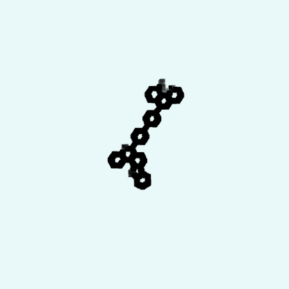 CC1CC=Cc2c(-c3ccc(-c4ccc(-c5nc6ccccc6c6c5ccc5c7ccccc7sc56)cc4)cc3)cc3cccnc3c21